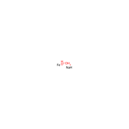 O.O.[Fe].[NaH]